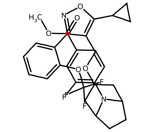 COC(=O)c1ccc(N2C3CCC2CC(OCc2c(-c4ccccc4OC(F)(F)F)noc2C2CC2)C3)c(F)c1